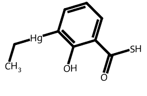 C[CH2][Hg][c]1cccc(C(=O)S)c1O